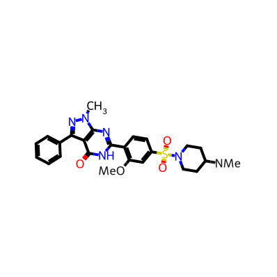 CNC1CCN(S(=O)(=O)c2ccc(-c3nc4c(c(-c5ccccc5)nn4C)c(=O)[nH]3)c(OC)c2)CC1